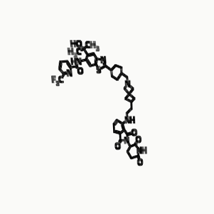 CC(C)(O)c1cc2nc(C3CCC(CN4CC5(CC(CCNc6cccc7c6C(=O)N(C6CCC(=O)NC6=O)C7=O)C5)C4)CC3)sc2cc1NC(=O)c1cccc(C(F)(F)F)n1